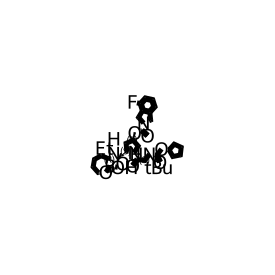 CCC1CCCOB(O)[C@H]1NC(=O)[C@@H]1C[C@@H](OC(=O)N2Cc3cccc(F)c3C2)CN1C(=O)[C@@H](NC(=O)OC1CCCC1)C(C)(C)C